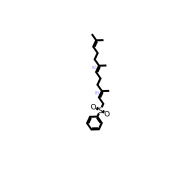 CC(C)=CCC/C(C)=C/CC/C(C)=C/CS(=O)(=O)c1ccccc1